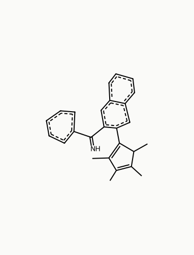 CC1=C(C)C(C)C(c2cc3ccccc3cc2C(=N)c2ccccc2)=C1C